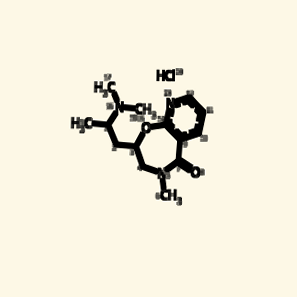 CC(CC1CN(C)C(=O)c2cccnc2O1)N(C)C.Cl